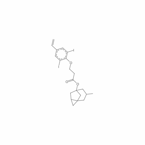 C=Cc1cc(I)c(OCCC(=O)OC23CC(C)CC4(CC4C2)C3)c(I)c1